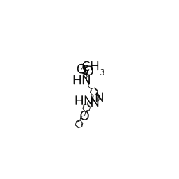 CS(=O)(=O)CCNCCc1ccc2ncnc(Nc3ccc(OCc4ccccc4)cc3)c2c1